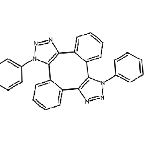 c1ccc(-n2nnc3c2-c2ccccc2-c2nnn(-c4ccccc4)c2-c2ccccc2-3)cc1